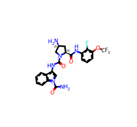 NC(=O)n1cc(NC(=O)N2C[C@@H](N)C[C@H]2C(=O)Nc2cccc(OC(F)(F)F)c2F)c2ccccc21